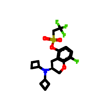 O=S(=O)(CC(F)(F)F)Oc1ccc(F)c2c1C[C@@H](N(C1CCC1)C1CCC1)CO2